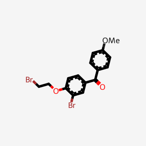 COc1ccc(C(=O)c2ccc(OCCBr)c(Br)c2)cc1